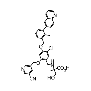 Cc1c(COc2cc(OCc3cncc(C#N)c3)c(CNC(C)(CO)C(=O)O)cc2Cl)cccc1-c1ccc2ncccc2c1